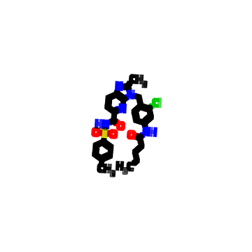 CCCCC(=O)Nc1ccc(Cn2c(C)nc3ccc(C(=O)NS(=O)(=O)c4ccc(C)cc4)nc32)c(Cl)c1